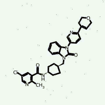 Cc1ncc(Cl)cc1C(=O)N[C@H]1CC[C@H](Cn2c(=O)n(-c3ccc(C4=CCOCC4)nc3)c3ccccc32)CC1